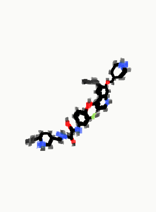 COc1cc2c(Oc3ccc(NC(=O)C(=O)NCC4CCC(C(F)(F)F)NC4)cc3F)ccnc2cc1OCC1CCNCC1